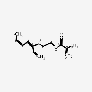 C=C/C(=C\C=C/C)OCCOC(=O)C(=C)C